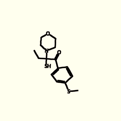 CCC(S)(C(=O)c1ccc(SC)cc1)N1CCOCC1